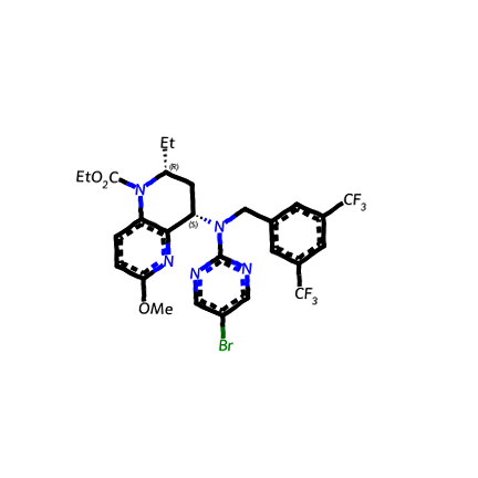 CCOC(=O)N1c2ccc(OC)nc2[C@@H](N(Cc2cc(C(F)(F)F)cc(C(F)(F)F)c2)c2ncc(Br)cn2)C[C@H]1CC